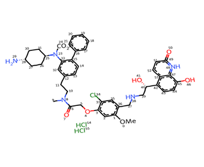 COc1cc(OCC(=O)N(C)CCc2ccc(-c3ccccc3)c(N(C(=O)O)[C@H]3CC[C@H](N)CC3)c2)c(Cl)cc1CNC[C@H](O)c1ccc(O)c2[nH]c(=O)ccc12.Cl.Cl